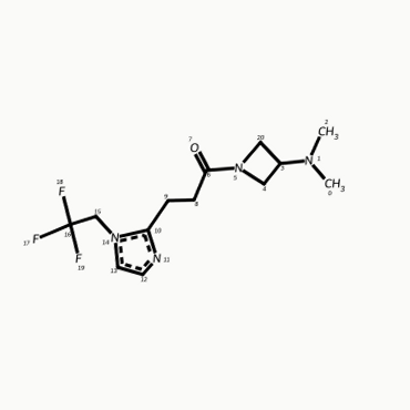 CN(C)C1CN(C(=O)CCc2nccn2CC(F)(F)F)C1